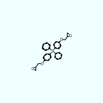 c1ccc([Si](c2ccccc2)(c2ccc(OCC3CO3)cc2)c2ccc(OCC3CO3)cc2)cc1